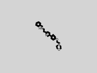 C1=CC(c2ccc(OCCN3CCOCC3)cc2)CN=C1CCNCc1ccccc1